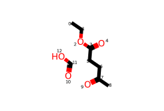 CCOC(=O)CCC(C)=O.O=CO